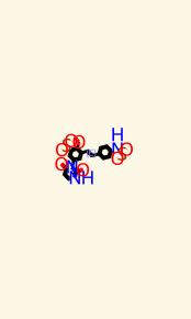 COc1c(/C=C/c2ccc(NS(C)(=O)=O)cc2)cc(-n2c(=O)cc[nH]c2=O)cc1S(C)(=O)=O